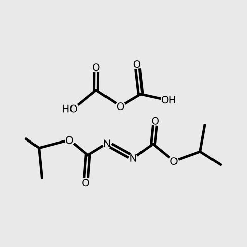 CC(C)OC(=O)N=NC(=O)OC(C)C.O=C(O)OC(=O)O